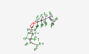 FC(F)=C(F)C(F)(F)C(F)(F)C(F)(F)OC(F)(F)C(F)(F)C(F)(F)C(F)=C(F)F